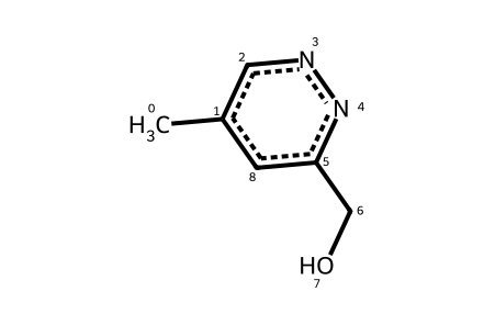 Cc1cnnc(CO)c1